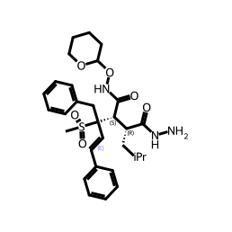 CC(C)C[C@@H](C(=O)NN)[C@@H](C(=O)NOC1CCCCO1)C(/C=C/c1ccccc1)(Cc1ccccc1)S(C)(=O)=O